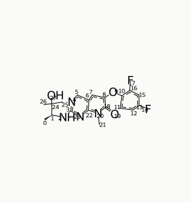 C[C@H](Nc1ncc2cc(Oc3ccc(F)cc3F)c(=O)n(C)c2n1)C(C)(C)O